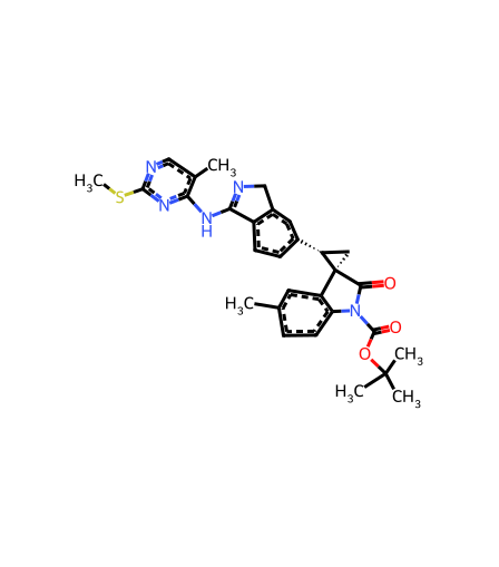 CSc1ncc(C)c(NC2=NCc3cc([C@@H]4C[C@@]45C(=O)N(C(=O)OC(C)(C)C)c4ccc(C)cc45)ccc32)n1